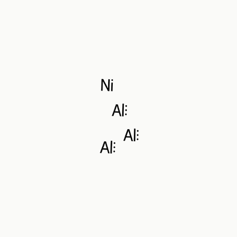 [Al].[Al].[Al].[Ni]